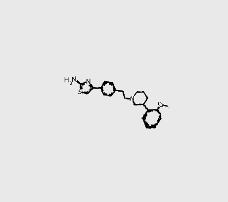 COc1ccccc1C1CCCN(CCc2ccc(-c3csc(N)n3)cc2)C1